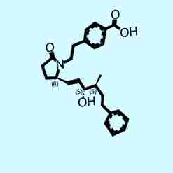 C[C@@H](CCc1ccccc1)[C@H](O)C=C[C@H]1CCC(=O)N1CCc1ccc(C(=O)O)cc1